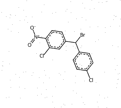 O=[N+]([O-])c1ccc(C(Br)c2ccc(Cl)cc2)cc1Cl